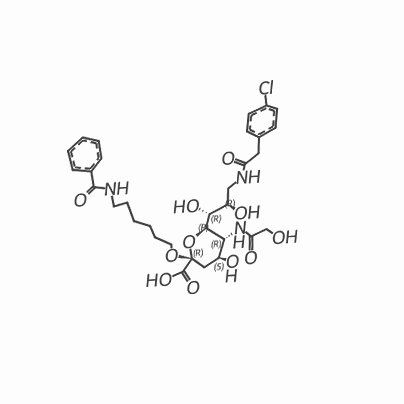 O=C(Cc1ccc(Cl)cc1)NC[C@@H](O)[C@@H](O)[C@@H]1O[C@@](OCCCCCCNC(=O)c2ccccc2)(C(=O)O)C[C@H](O)[C@H]1NC(=O)CO